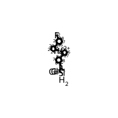 C1C[SiH2]C1.Fc1cccc(C2=[C]([Hf+2][C]3=C(c4cccc(F)c4)C=CC3)CC=C2)c1.[Cl-].[Cl-]